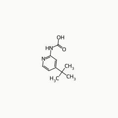 CC(C)(C)c1ccnc(NC(=O)O)c1